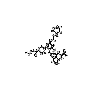 C=CC(=O)N1CCN(c2nc(OCCCN3CCOCC3)nc3c2CCN(c2cc(C(F)F)cc4ccccc24)C3)CC1